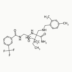 CCC(C)(C)C(CNCc1ccc(C)cc1C)(NC(=O)CNC(=O)c1cccc(C(F)(F)F)c1)C(N)=O